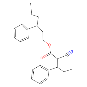 CCCC(CCOC(=O)C(C#N)=C(CC)c1ccccc1)c1ccccc1